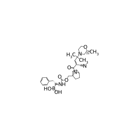 C[C@H]1CN(C(C)(C)C=C(C#N)C(=O)N2C3CCC2(COC(=O)N[C@@H](Cc2ccccc2)B(O)O)CC3)CCO1